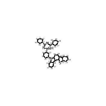 c1ccc(C2=NC(c3cccc(-n4c5ccccc5c5c6sc7ccccc7c6ccc54)c3)NC(c3ccccc3)=N2)cc1